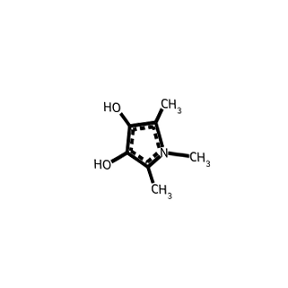 Cc1c(O)c(O)c(C)n1C